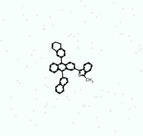 Cc1sc(-c2ccc3c(-c4ccc5c(c4)C=CCC5)c4ccccc4c(-c4ccc5ccccc5c4)c3c2)c2ccccc12